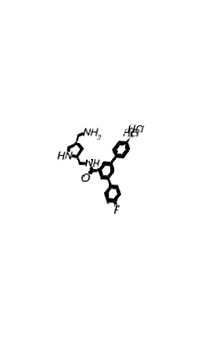 Cl.Cl.NC[C@@H]1CN[C@H](CNC(=O)c2cc(-c3ccc(F)cc3)cc(-c3ccc(F)cc3)c2)C1